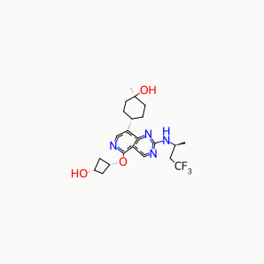 C[C@@H](CC(F)(F)F)Nc1ncc2c(O[C@H]3C[C@@H](O)C3)ncc([C@H]3CC[C@](C)(O)CC3)c2n1